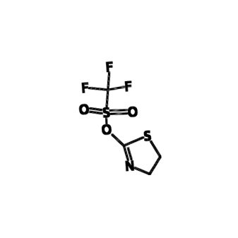 O=S(=O)(OC1=NCCS1)C(F)(F)F